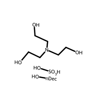 CCCCCCCCCCO.O=S(=O)(O)O.OCCN(CCO)CCO